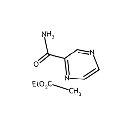 CCOC(C)=O.NC(=O)c1cnccn1